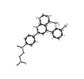 CN(C)CCN(C)c1ccc(-c2cc(-c3cccc(Br)c3)c3c(N)ncnc3n2)cc1